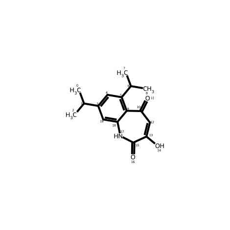 CC(C)c1cc(C(C)C)c2c(=O)cc(O)c(=O)[nH]c2c1